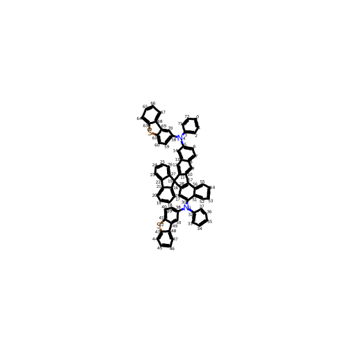 c1ccc(N(c2ccc3cc4c(cc3c2)C2(c3ccccc3-c3ccccc32)c2cc(N(c3ccccc3)c3ccc5sc6ccccc6c5c3)c3ccccc3c2-4)c2ccc3sc4ccccc4c3c2)cc1